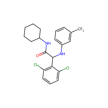 O=C(NC1CCCCC1)C(Nc1cccc(C(F)(F)F)c1)c1c(Cl)cccc1Cl